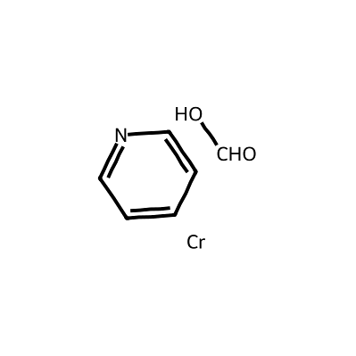 O=CO.[Cr].c1ccncc1